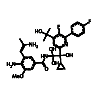 COc1cc(C(=O)NC(O)(O)C(O)(c2cc(C(C)(C)O)c(F)c(-c3ccc(F)cc3)n2)C2CC2)cc(/C=C(/C)N)c1N